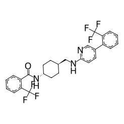 O=C(N[C@H]1CC[C@H](CNc2ccc(-c3ccccc3C(F)(F)F)cn2)CC1)c1ccccc1C(F)(F)F